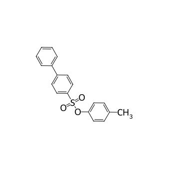 Cc1ccc(OS(=O)(=O)c2ccc(-c3ccccc3)cc2)cc1